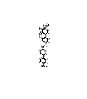 CCCc1ccc(C2CCC(OCc3ccc(-c4ccc(OCC)c(F)c4F)c(F)c3)CC2)cc1